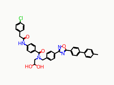 Cc1ccc(-c2ccc(-c3nc(-c4ccc(CN(CC(O)O)C(=O)c5ccc(NC(=O)Cc6ccc(Cl)cc6)cc5)cc4)no3)cc2)cc1